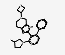 FC1CCN(c2nccc(-c3ccccc3)c2-c2nc3c([nH]2)CN(C2COC2)CC3)C1